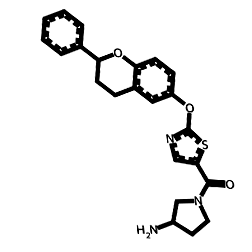 NC1CCN(C(=O)c2cnc(Oc3ccc4c(c3)CCC(c3ccccc3)O4)s2)C1